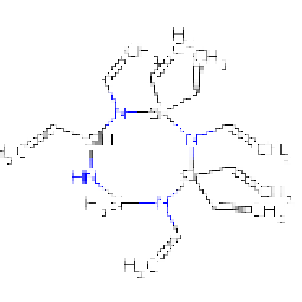 C=CN1[SiH2]N[SiH](C=C)N(C=C)[Si](C=C)(C=C)N(C=C)[Si]1(C=C)C=C